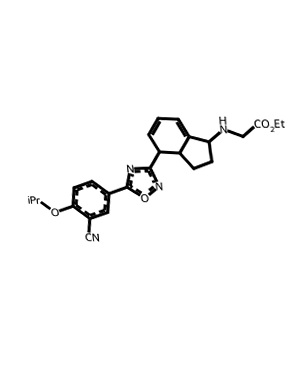 CCOC(=O)CNC1CCC2C1=CC=CC2c1noc(-c2ccc(OC(C)C)c(C#N)c2)n1